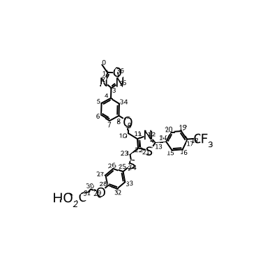 Cc1nc(-c2cccc(OCc3nc(-c4ccc(C(F)(F)F)cc4)sc3CSc3ccc(OCC(=O)O)cc3)c2)no1